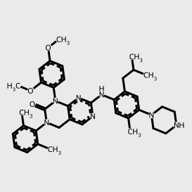 COc1ccc(N2C(=O)N(c3c(C)cccc3C)Cc3cnc(Nc4cc(C)c(N5CCNCC5)cc4CC(C)C)nc32)c(OC)c1